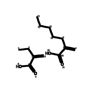 C=C(CC)C(=O)O.C=C(CCCCC)C(=O)O